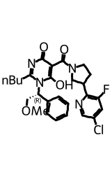 CCCCc1nc(=O)c(C(=O)N2CCC(c3ncc(Cl)cc3F)C2)c(O)n1[C@@H](COC)c1ccccc1